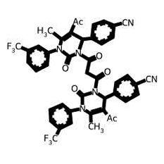 CC(=O)C1=C(C)N(c2cccc(C(F)(F)F)c2)C(=O)N(C(=O)CC(=O)N2C(=O)N(c3cccc(C(F)(F)F)c3)C(C)=C(C(C)=O)C2c2ccc(C#N)cc2)C1c1ccc(C#N)cc1